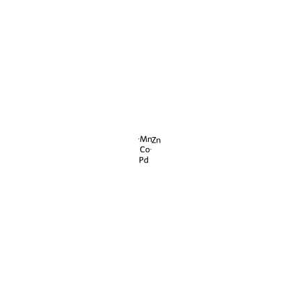 [Co].[Mn].[Pd].[Zn]